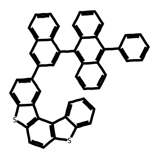 c1ccc(-c2c3ccccc3c(-c3cc(-c4ccc5sc6ccc7sc8ccccc8c7c6c5c4)cc4ccccc34)c3ccccc23)cc1